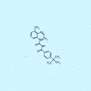 C/C=N\c1c(C)cccc1NC(=S)NC(=O)c1ccc(C(C)(C)C)cc1